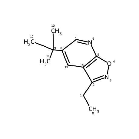 CCc1noc2ncc(C(C)(C)C)cc12